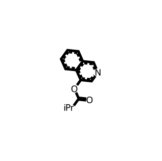 CC(C)C(=O)Oc1cncc2ccccc12